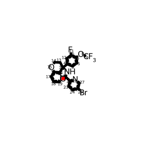 O=C(NC1(c2ccc(OC(F)(F)F)c(F)c2)CCOc2cccnc21)c1ccc(Br)cn1